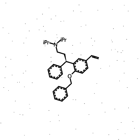 C=Cc1ccc(OCc2ccccc2)c([C@H](CCN(C(C)C)C(C)C)c2ccccc2)c1